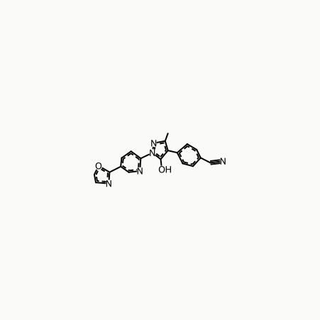 Cc1nn(-c2ccc(-c3ncco3)cn2)c(O)c1-c1ccc(C#N)cc1